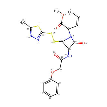 C/C=C\C(C(=O)OC)N1C(=O)C(NC(=O)COc2ccccc2)C1SSc1nnc(C)s1